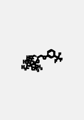 CC(C)(C)[Si](C)(C)O[C@H](CO)COc1cccc(C(F)(F)F)c1